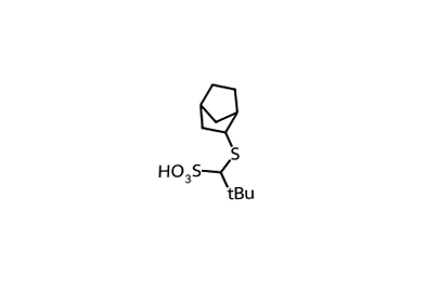 CC(C)(C)C(SC1CC2CCC1C2)S(=O)(=O)O